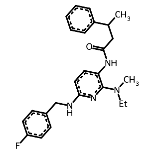 CCN(C)c1nc(NCc2ccc(F)cc2)ccc1NC(=O)CC(C)c1ccccc1